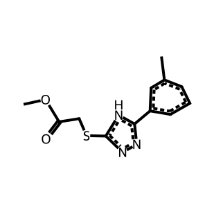 COC(=O)CSc1nnc(-c2cccc(C)c2)[nH]1